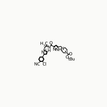 C[C@H](Cn1ccc(-c2ccc(C#N)c(Cl)c2)n1)NC(=O)c1cc(CN2CCN(C(=O)OC(C)(C)C)CC2)[nH]n1